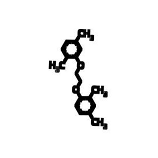 Cc1ccc(OCCOc2cc(C)ccc2C)c(C)c1